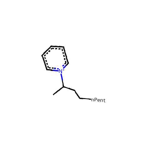 CCCCCCCC(C)[n+]1ccccc1